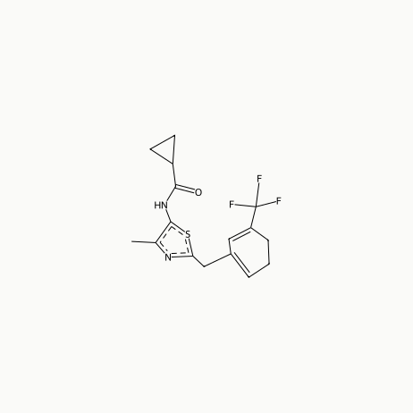 Cc1nc(CC2=CCCC(C(F)(F)F)=C2)sc1NC(=O)C1CC1